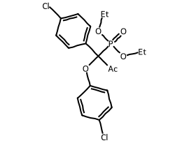 CCOP(=O)(OCC)C(Oc1ccc(Cl)cc1)(C(C)=O)c1ccc(Cl)cc1